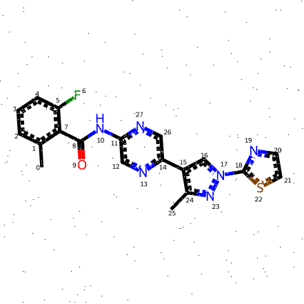 Cc1cccc(F)c1C(=O)Nc1cnc(-c2cn(-c3nccs3)nc2C)cn1